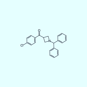 O=C(c1ccc(Cl)cc1)C1CN(C(c2ccccc2)c2ccccc2)C1